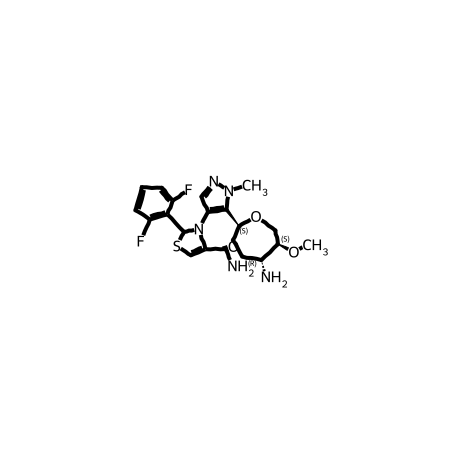 CO[C@@H]1CO[C@H](c2c(N3C(C(N)=O)=CSC3c3c(F)cccc3F)cnn2C)CC[C@H]1N